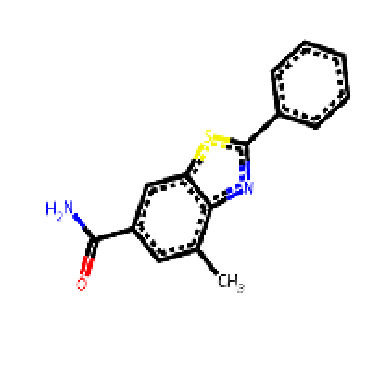 Cc1cc(C(N)=O)cc2sc(-c3ccccc3)nc12